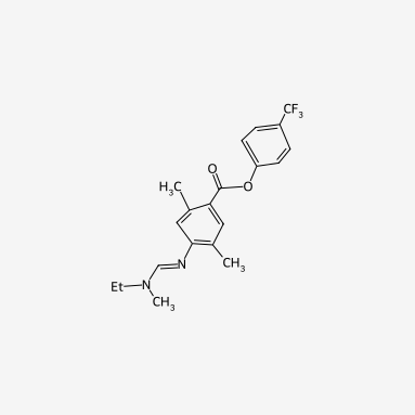 CCN(C)/C=N/c1cc(C)c(C(=O)Oc2ccc(C(F)(F)F)cc2)cc1C